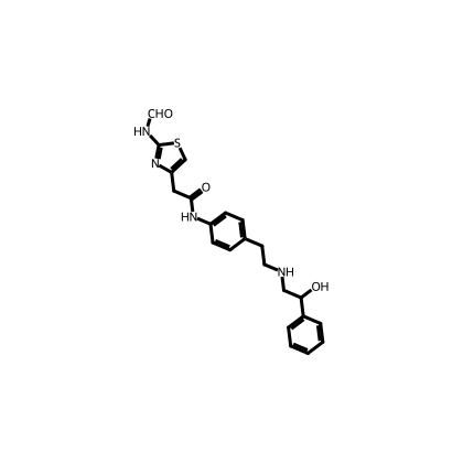 O=CNc1nc(CC(=O)Nc2ccc(CCNCC(O)c3ccccc3)cc2)cs1